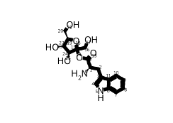 N[C@@H](Cc1c[nH]c2ccccc12)C(=O)OC1(CO)O[C@H](CO)[C@@H](O)[C@@H]1O